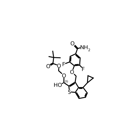 CC(C)(C)C(=O)OCO[C@H](O)c1sc2cccc(C3CC3)c2c1COc1c(F)cc(C(N)=O)cc1F